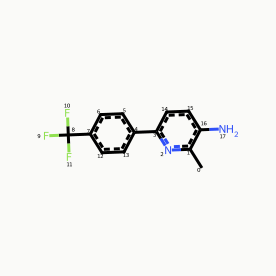 Cc1nc(-c2ccc(C(F)(F)F)cc2)ccc1N